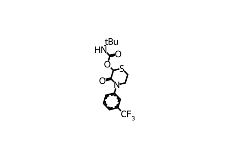 CC(C)(C)NC(=O)OC1SCCN(c2cccc(C(F)(F)F)c2)C1=O